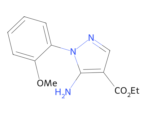 CCOC(=O)c1cnn(-c2ccccc2OC)c1N